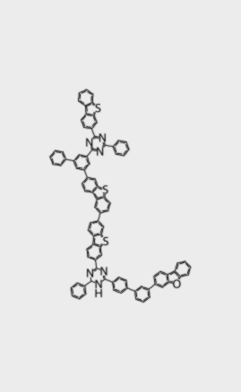 c1ccc(-c2cc(-c3ccc4c(c3)sc3ccc(-c5ccc6c(c5)sc5cc(C7=NC(c8ccccc8)NC(c8ccc(-c9cccc(-c%10ccc%11c(c%10)oc%10ccccc%10%11)c9)cc8)=N7)ccc56)cc34)cc(-c3nc(-c4ccccc4)nc(-c4ccc5c(c4)sc4ccccc45)n3)c2)cc1